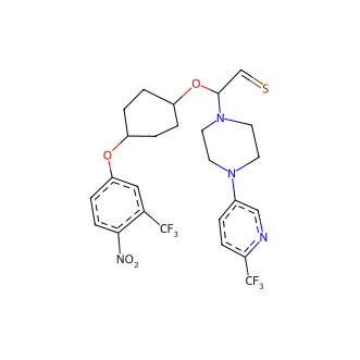 O=[N+]([O-])c1ccc(OC2CCC(OC(C=S)N3CCN(c4ccc(C(F)(F)F)nc4)CC3)CC2)cc1C(F)(F)F